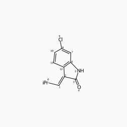 CC(C)/C=C1/C(=O)Nc2cc(Cl)ccc21